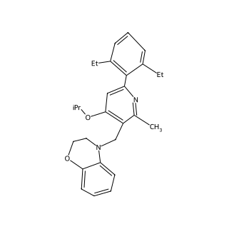 CCc1cccc(CC)c1-c1cc(OC(C)C)c(CN2CCOc3ccccc32)c(C)n1